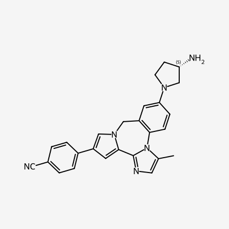 Cc1cnc2n1-c1ccc(N3CC[C@H](N)C3)cc1Cn1cc(-c3ccc(C#N)cc3)cc1-2